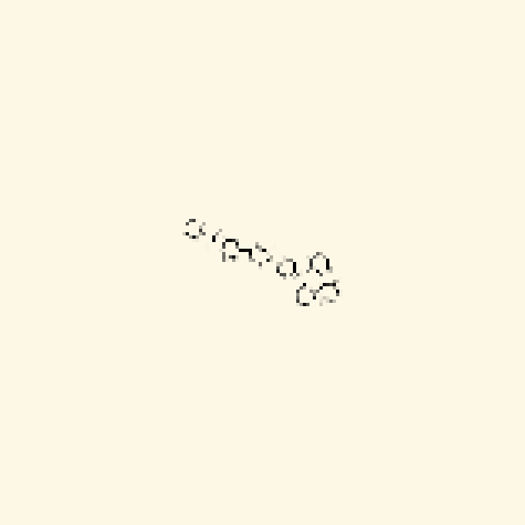 c1ccc(-c2nc3cc4oc5cc(-c6ccc(N(c7ccccc7)c7cccc8oc9ccccc9c78)cc6)ccc5c4cc3o2)cc1